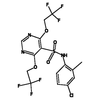 Cc1cc(Cl)ccc1NS(=O)(=O)c1c(OCC(F)(F)F)ncnc1OCC(F)(F)F